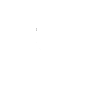 CCCCOC(=O)NC(Cc1ccc(Br)cc1)C(=O)O